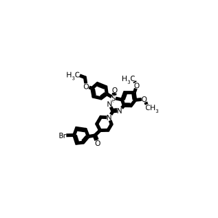 CCOc1ccc(S2(=O)=NC(N3CCC(C(=O)c4ccc(Br)cc4)CC3)=Nc3cc(OC)c(OC)cc32)cc1